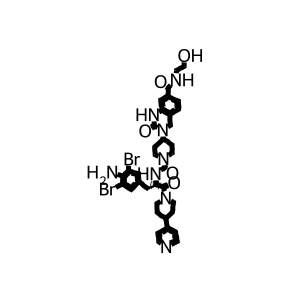 Nc1c(Br)cc(C[C@@H](NC(=O)N2CCC(N3Cc4ccc(C(=O)NCCO)cc4NC3=O)CC2)C(=O)N2CCC(c3ccncc3)CC2)cc1Br